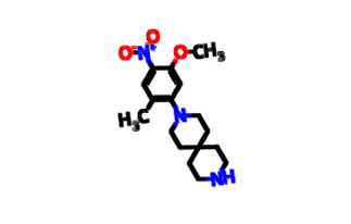 COc1cc(N2CCC3(CCNCC3)CC2)c(C)cc1[N+](=O)[O-]